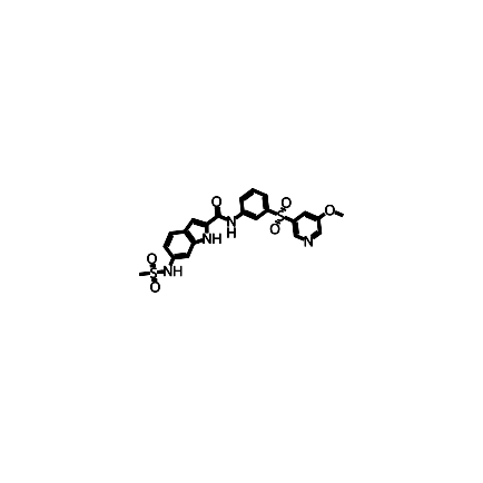 COc1cncc(S(=O)(=O)c2cccc(NC(=O)c3cc4ccc(NS(C)(=O)=O)cc4[nH]3)c2)c1